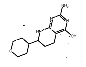 Nc1nc(O)c2c(n1)NC(C1CCOCC1)CC2